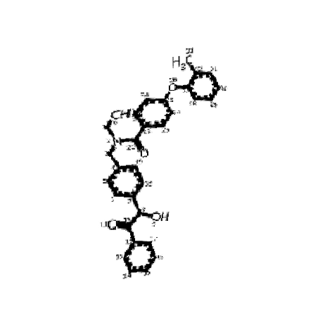 CCN(Cc1ccc(C(O)C(=O)c2ccccc2)cc1)C(=O)c1ccc(Oc2ccccc2C)cc1